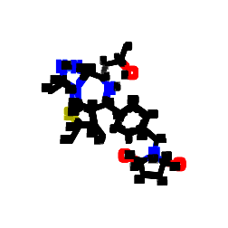 CC(=O)C[C@@H]1N=C(c2ccc(CN3C(=O)C=CC3=O)cc2)c2c(sc(C)c2C)-n2c(C)nnc21